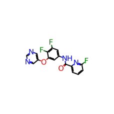 O=C(Nc1cc(F)c(F)c(Oc2cncnc2)c1)c1cccc(F)n1